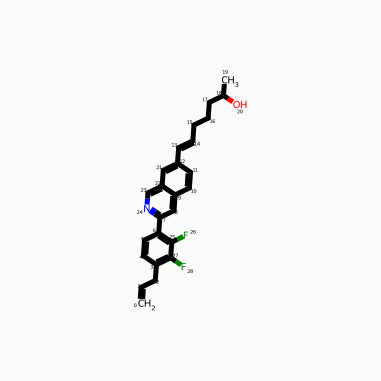 C=CCc1ccc(-c2cc3ccc(C=CCCCC(C)O)cc3cn2)c(F)c1F